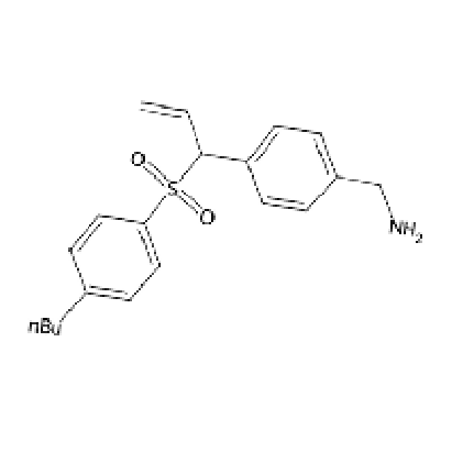 C=CC(c1ccc(CN)cc1)S(=O)(=O)c1ccc(CCCC)cc1